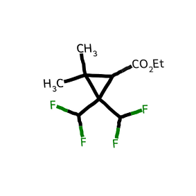 CCOC(=O)C1C(C)(C)C1(C(F)F)C(F)F